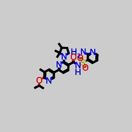 Cc1cc(-c2ccc(C(=O)NS(=O)(=O)c3cccnc3N)c(N3CCC(C)C3(C)C)n2)cnc1OC(C)C